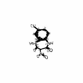 O=C1Nc2ccc(Cl)cc2NC(=O)C1[N+](=O)[O-]